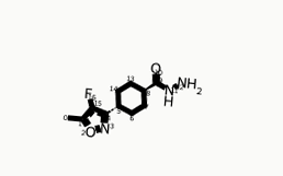 Cc1onc([C@H]2CC[C@H](C(=O)NN)CC2)c1F